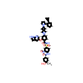 C[C@]1(O)CC[C@H](CNc2ccc(S(=O)(=O)NC(=O)c3ccc(N4CC5(CC(N6CCC[C@H]6c6ccccc6C6CC6)C5)C4)cc3Oc3cnc4[nH]ccc4c3)cc2[N+](=O)[O-])CC1